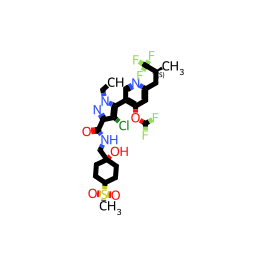 CCn1nc(C(=O)NCC2(O)CCC(S(C)(=O)=O)CC2)c(Cl)c1-c1cnc(C[C@H](C)C(F)(F)F)cc1OC(F)F